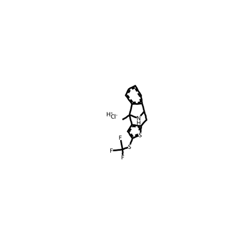 CC12NC(Cc3sc(SC(F)(F)F)cc31)c1ccccc12.[Cl-].[H+]